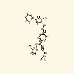 Cc1oc(-c2ccccc2)nc1CCOc1ccc(C(CCC(=O)O)=NOCC2CC2)cc1